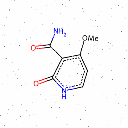 COc1cc[nH]c(=O)c1C(N)=O